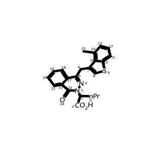 CCCC(C(=O)O)n1nc(Cc2csc3cccc(C)c23)c2ccccc2c1=O